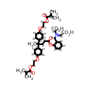 C=C(C)C(=O)OCCOc1ccc(C(C)(CCC(=O)Oc2ccccc2CN(CC(=O)O)CC(=O)O)c2ccc(OCCOC(=O)C(=C)C)cc2)cc1